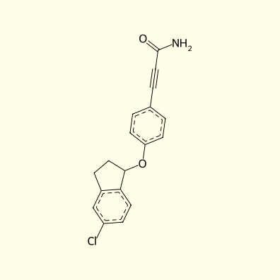 NC(=O)C#Cc1ccc(OC2CCc3cc(Cl)ccc32)cc1